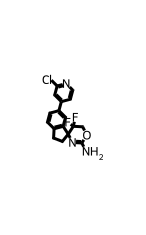 NC1=NC2(CCc3ccc(-c4ccnc(Cl)c4)cc32)C(F)(F)CO1